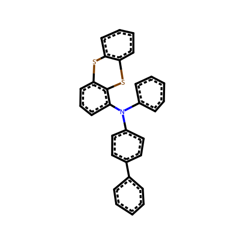 c1ccc(-c2ccc(N(c3ccccc3)c3cccc4c3Sc3ccccc3S4)cc2)cc1